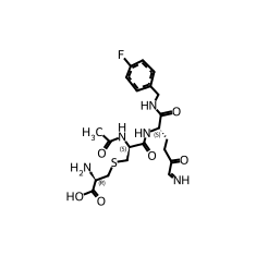 CC(=O)N[C@H](CSC[C@H](N)C(=O)O)C(=O)N[C@@H](CCC(=O)C=N)C(=O)NCc1ccc(F)cc1